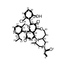 C=CC(=O)N1CC(C)N2c3nc(=O)n(-c4c(C)ccnc4C(C)C)c4nc(-c5c(O)cccc5Cl)c(Cl)c(c34)OCCC2C1